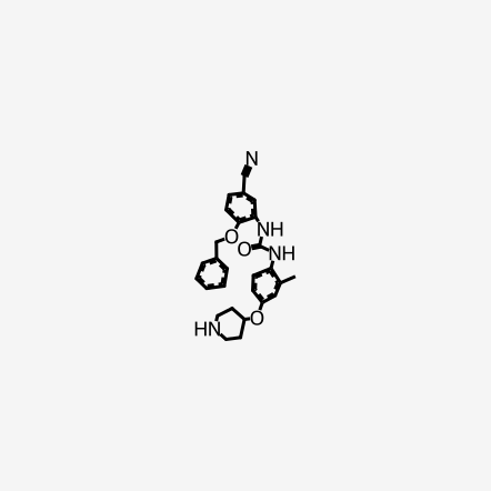 Cc1cc(OC2CCNCC2)ccc1NC(=O)Nc1cc(C#N)ccc1OCc1ccccc1